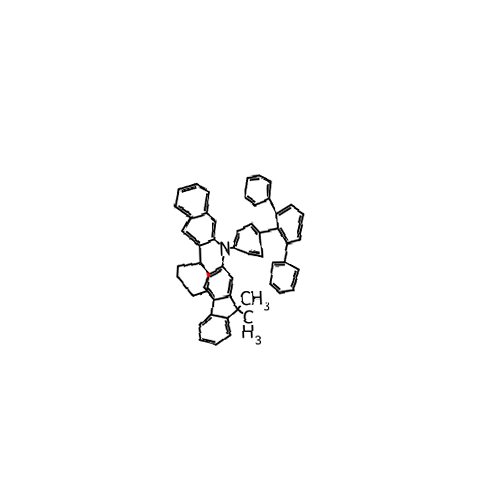 CC1(C)c2ccccc2-c2ccc(N(c3ccc(-c4c(-c5ccccc5)cccc4-c4ccccc4)cc3)c3cc4ccccc4cc3C3CCCCC3)cc21